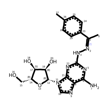 C/C(=N/Nc1nc(N)c2ncn([C@@H]3O[C@H](CO)[C@@H](O)[C@H]3O)c2n1)c1ccc(C)cc1